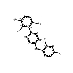 Cc1ccc(Nc2ccc(-c3c(F)ccc(F)c3F)nc2)c(C(=O)O)c1